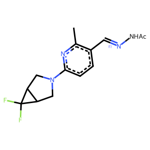 CC(=O)N/N=C/c1ccc(N2CC3C(C2)C3(F)F)nc1C